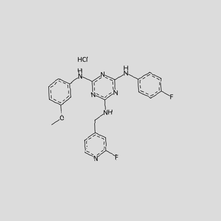 COc1cccc(Nc2nc(NCc3ccnc(F)c3)nc(Nc3ccc(F)cc3)n2)c1.Cl